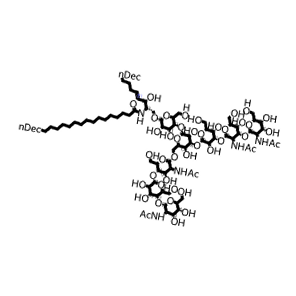 CCCCCCCCCCCCC/C=C/[C@@H](O)[C@H](CO[C@@H]1OC(CO)[C@@H](O[C@@H]2OC(CO[C@@H]3OC(CO)[C@@H](O[C@@H]4OC(CO)[C@H](O[C@@H]5OC(CO)[C@H](O)[C@H](O)C5NC(C)=O)[C@H](O)C4O)[C@H](O)C3NC(C)=O)[C@H](O)[C@H](O[C@H]3OC(CO)[C@H](O)[C@H](O[C@@H]4OC(CO)[C@H](O)[C@H](O[C@H]5OC(CO)[C@H](O)[C@H](O)C5NC(C)=O)C4NC(C)=O)C3O)C2O)[C@H](O)C1O)NC(=O)CCCCCCCCCCCCCCCCCCCCCCCCC